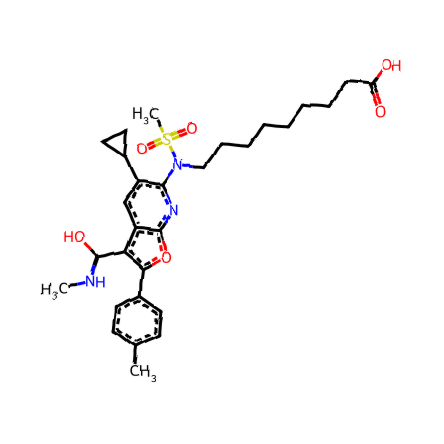 CNC(O)c1c(-c2ccc(C)cc2)oc2nc(N(CCCCCCCCC(=O)O)S(C)(=O)=O)c(C3CC3)cc12